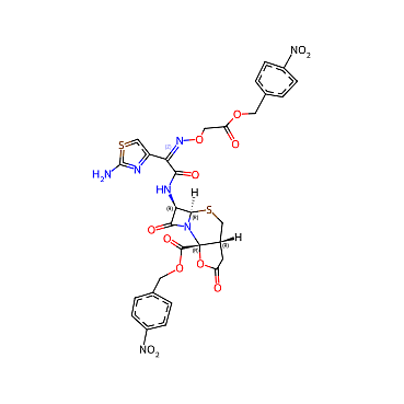 Nc1nc(/C(=N/OCC(=O)OCc2ccc([N+](=O)[O-])cc2)C(=O)N[C@@H]2C(=O)N3[C@@H]2SC[C@@H]2CC(=O)O[C@@]23C(=O)OCc2ccc([N+](=O)[O-])cc2)cs1